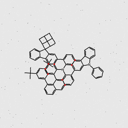 CC(C)(C)c1cc(-c2cccc3cccc(-c4ccccc4N(c4ccccc4-c4ccc5c(c4)C4(c6ccccc6-5)C5CC6CC7CC4C675)c4ccccc4-c4ccc5c6ccccc6n(-c6ccccc6)c5c4)c23)cc(C(C)(C)C)c1